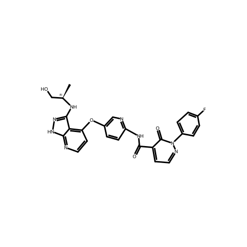 C[C@H](CO)Nc1n[nH]c2nccc(Oc3ccc(NC(=O)c4ccnn(-c5ccc(F)cc5)c4=O)nc3)c12